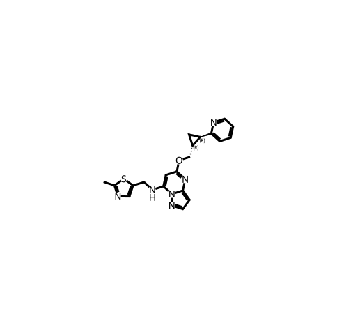 Cc1ncc(CNc2cc(OC[C@@H]3C[C@H]3c3ccccn3)nc3ccnn23)s1